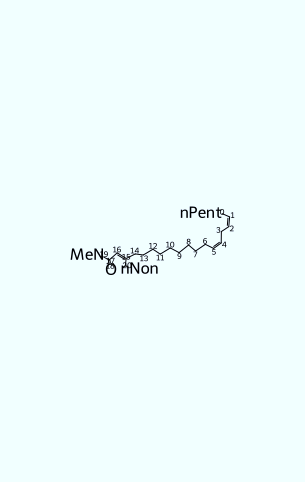 CCCCC/C=C\C/C=C\CCCCCCCCC/C(=C/C(=O)NC)CCCCCCCCC